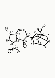 COC12CC3CC(C1)CC([C@H](C)C(=O)N1C(C)[C@@H](C)C[C@H]1C(C)=O)(C3)C2